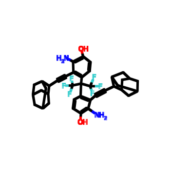 Nc1c(O)ccc(C(c2ccc(O)c(N)c2C#CC2C3CC4CC(C3)CC2C4)(C(F)(F)F)C(F)(F)F)c1C#CC1C2CC3CC(C2)CC1C3